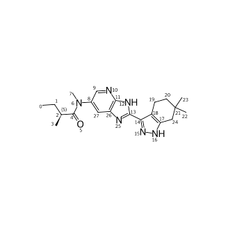 CC[C@H](C)C(=O)N(C)c1cnc2[nH]c(-c3n[nH]c4c3CCC(C)(C)C4)nc2c1